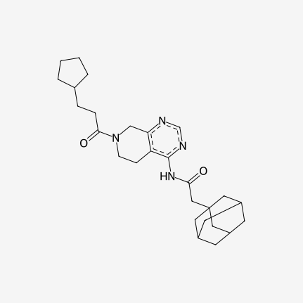 O=C(CC12CC3CC(CC(C3)C1)C2)Nc1ncnc2c1CCN(C(=O)CCC1CCCC1)C2